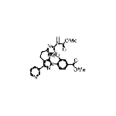 COC(=O)Nc1nc2c(s1)-c1c(c(-c3cccnc3)nn1-c1ccc(C(=O)OC)cc1OC)CC2